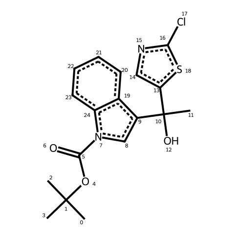 CC(C)(C)OC(=O)n1cc(C(C)(O)c2cnc(Cl)s2)c2ccccc21